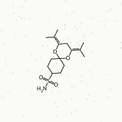 CC(C)=C1CC(=C(C)C)OC2(CCC(S(N)(=O)=O)CC2)O1